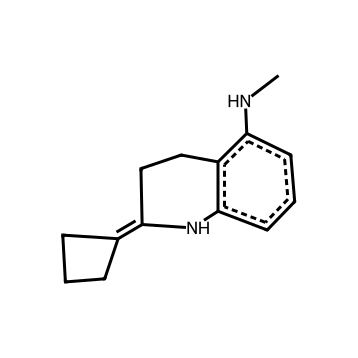 CNc1cccc2c1CCC(=C1CCC1)N2